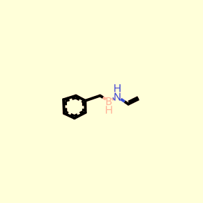 C=CNBCc1ccccc1